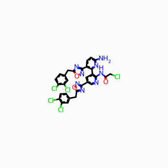 Nc1ccc(-c2noc(Cc3ccc(Cl)c(Cl)c3)n2)c(-c2cc(-c3noc(Cc4ccc(Cl)c(Cl)c4)n3)cnc2NC(=O)CCl)n1